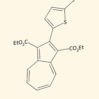 CCOC(=O)c1c2cccccc-2c(C(=O)OCC)c1-c1ccc(F)s1